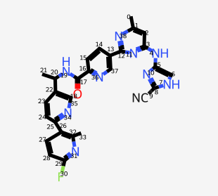 Cc1cc(Nc2c[nH]c(C#N)n2)nc(-c2ccc(C(=O)NC(C)c3ccc(-c4ccc(F)nc4C)nc3)nc2)n1